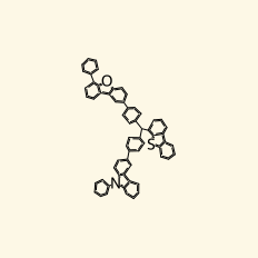 c1ccc(-c2cccc3c2oc2ccc(-c4ccc(C(c5ccc(-c6ccc7c(c6)c6ccccc6n7-c6ccccc6)cc5)c5cccc6c5sc5ccccc56)cc4)cc23)cc1